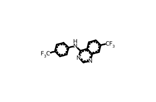 FC(F)(F)c1ccc(Nc2ncnc3cc(C(F)(F)F)ccc23)cc1